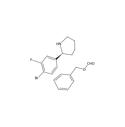 Fc1cc([C@@H]2CCCCN2)ccc1Br.O=COCc1ccccc1